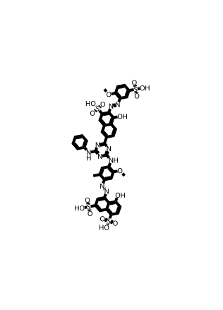 COc1ccc(S(=O)(=O)O)cc1N=Nc1c(S(=O)(=O)O)cc2cc(-c3nc(Nc4ccccc4)nc(Nc4cc(C)c(N=Nc5cc(S(=O)(=O)O)cc6c(S(=O)(=O)O)ccc(O)c56)cc4OC)n3)ccc2c1O